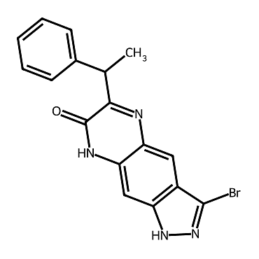 CC(c1ccccc1)c1nc2cc3c(Br)n[nH]c3cc2[nH]c1=O